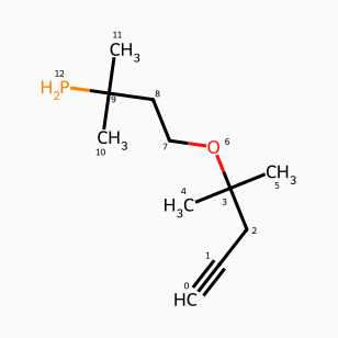 C#CCC(C)(C)OCCC(C)(C)P